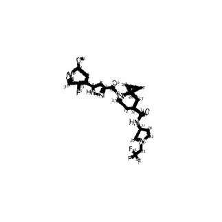 COc1cc(-c2cc(C(=O)N3CCC(C(=O)NC4CCN(CC(F)(F)F)C4)CC34CC4)n[nH]2)c(F)cn1